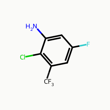 Nc1cc(F)cc(C(F)(F)F)c1Cl